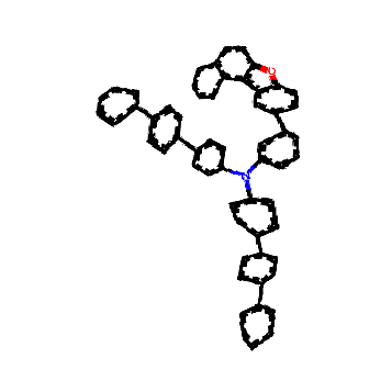 c1ccc(-c2ccc(-c3ccc(N(c4ccc(-c5ccc(-c6ccccc6)cc5)cc4)c4cccc(-c5ccc6oc7ccc8ccccc8c7c6c5)c4)cc3)cc2)cc1